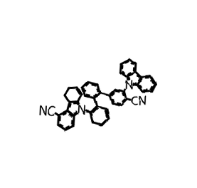 N#Cc1ccc(-c2ccccc2C2=C(n3c4c(c5c(C#N)cccc53)CCC=C4)CCC=C2)cc1-n1c2ccccc2c2ccccc21